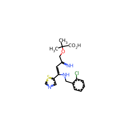 CC(C)(OCC(=N)/C=C(\NCc1ccccc1Cl)c1cncs1)C(=O)O